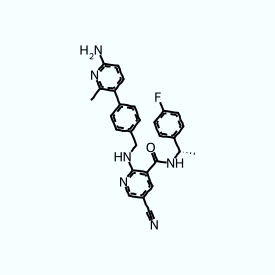 Cc1nc(N)ccc1-c1ccc(CNc2ncc(C#N)cc2C(=O)N[C@@H](C)c2ccc(F)cc2)cc1